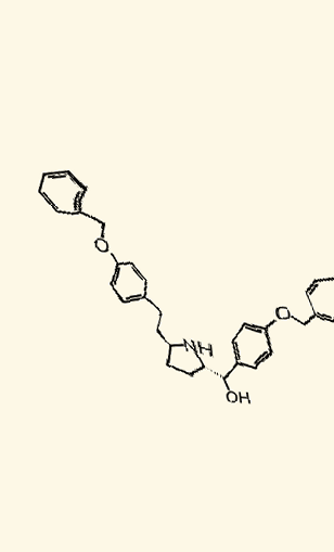 OC(c1ccc(OCc2ccccc2)cc1)[C@@H]1CC[C@@H](CCc2ccc(OCc3ccccc3)cc2)N1